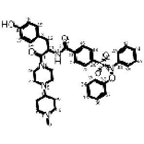 CN1CCC(N2CCN(C(=O)C(Cc3ccc(O)cc3)NC(=O)c3ccc(S(=O)(=O)N(Oc4ccccc4)c4ccccc4)cc3)CC2)CC1